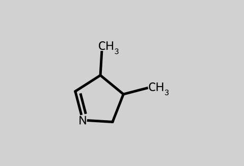 CC1C=NCC1C